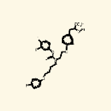 CCOC(Cc1ccc(OCCN(CCCCOc2ccc(F)cc2)C(=O)Oc2ccc(F)c(F)c2)cc1)C(=O)O